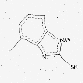 Cc1cccc2[nH]c(S)nc12